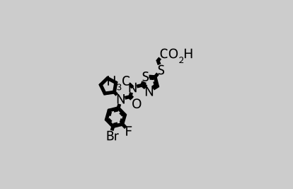 CN(C(=O)N(c1ccc(Br)c(F)c1)C1CCCC1)c1ncc(SCC(=O)O)s1